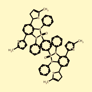 CC1=CCC(c2ccc(-c3ccc(C)s3)c3c2N(c2ccccc2)P(=O)(c2ccc(P4(=O)N(c5ccccc5)c5c(-c6ccc(C)s6)ccc(C6CC=C(C)S6)c5N4c4ccccc4)cc2)N3c2ccccc2)S1